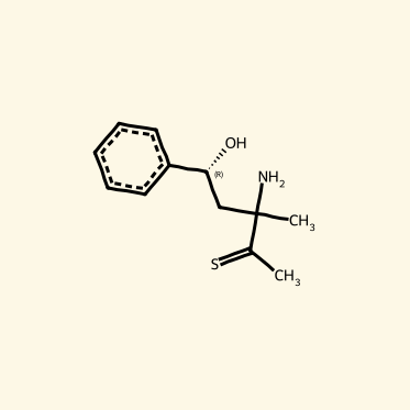 CC(=S)C(C)(N)C[C@@H](O)c1ccccc1